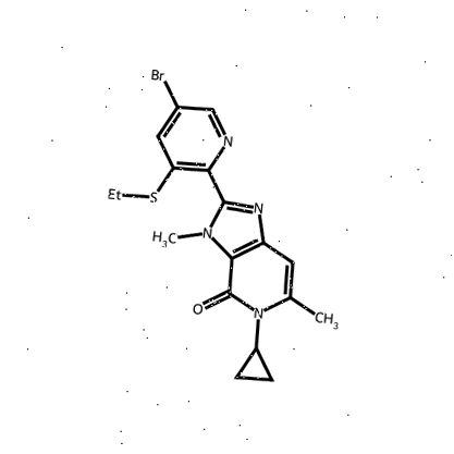 CCSc1cc(Br)cnc1-c1nc2cc(C)n(C3CC3)c(=O)c2n1C